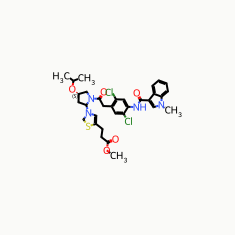 COC(=O)CCC1=CN(C2C[C@H](OC(C)C)CN2C(=O)Cc2cc(Cl)c(NC(=O)c3cn(C)c4ccccc34)cc2Cl)CS1